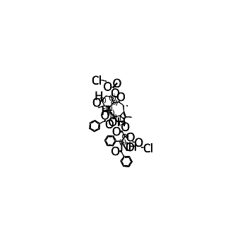 CC1=C2[CH]C(=O)[C@]3(C)[C@@H](OC(=O)OCCl)C[C@H]4OC[C]4[C@H]3[C@H](OC(=O)c3ccccc3)[C@](O)(C[C@@H]1OC(=O)[C@H](OC(=O)OCCl)[C@@H](NC(=O)c1ccccc1)c1ccccc1)C2(C)C